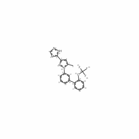 Cc1cc(-c2ncn[nH]2)nn1-c1cccc(-c2ccccc2OC(F)(F)F)c1